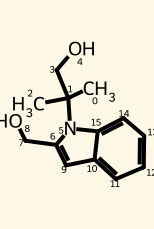 CC(C)(CO)n1c(CO)cc2ccccc21